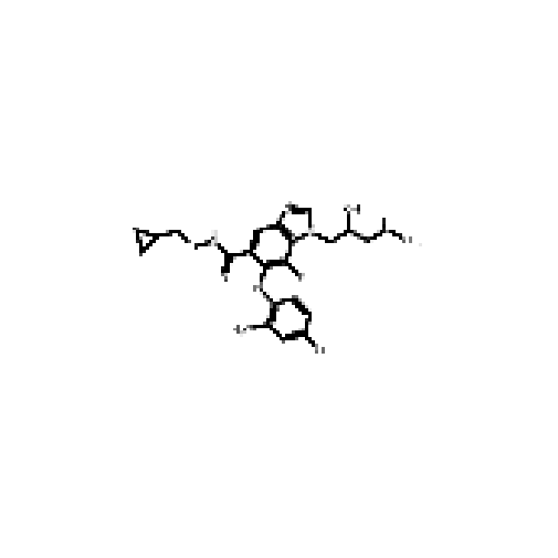 CNCC(O)Cn1cnc2cc(C(=O)NOCC3CC3)c(Nc3ccc(Cl)cc3C)c(F)c21